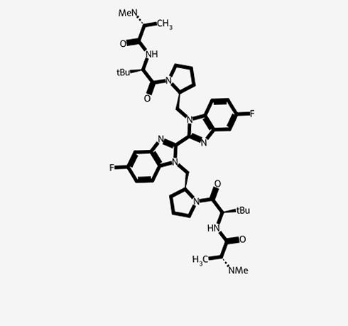 CN[C@H](C)C(=O)N[C@@H](C(=O)N1CCC[C@H]1Cn1c(-c2nc3cc(F)ccc3n2C[C@@H]2CCCN2C(=O)[C@H](NC(=O)[C@@H](C)NC)C(C)(C)C)nc2cc(F)ccc21)C(C)(C)C